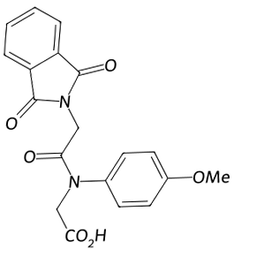 COc1ccc(N(CC(=O)O)C(=O)CN2C(=O)c3ccccc3C2=O)cc1